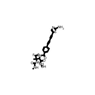 CNC(=O)NC(C)(C(F)F)C(NC(=O)c1ccc(C#CC#Cc2cnc(N)s2)cc1)C(=O)NO